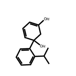 CC(C)c1ccccc1C1(O)C=CC=C(O)C1